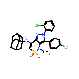 CN1c2c(nn(-c3ccccc3Cl)c2-c2ccc(Cl)cc2)C(NC23CC4CC(CC(C4)C2)C3)=CS1(=O)=O